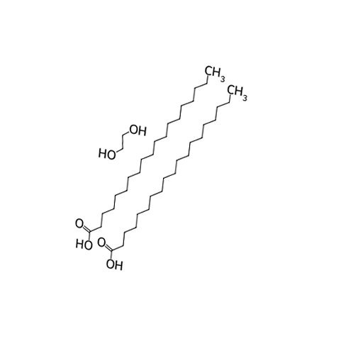 CCCCCCCCCCCCCCCCCCC(=O)O.CCCCCCCCCCCCCCCCCCC(=O)O.OCCO